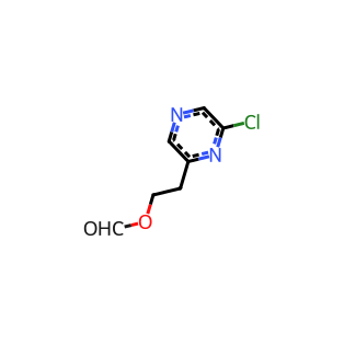 O=COCCc1cncc(Cl)n1